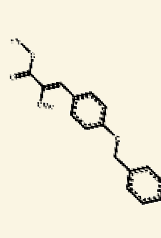 CCCOC(=O)/C(=C/c1ccc(OCc2ccccc2)cc1)OC